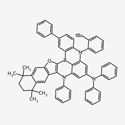 CC(C)(C)c1ccccc1N1c2ccc(-c3ccccc3)cc2B2c3oc4cc5c(cc4c3N(c3ccccc3)c3cc(N(c4ccccc4)c4ccccc4)cc1c32)C(C)(C)CCC5(C)C